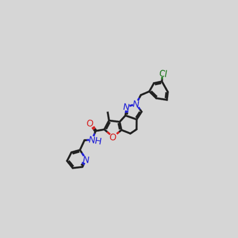 Cc1c(C(=O)NCc2ccccn2)oc2c1-c1nn(Cc3cccc(Cl)c3)cc1CC2